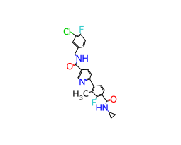 Cc1c(-c2ccc(C(=O)NCc3ccc(F)c(Cl)c3)cn2)ccc(C(=O)NC2CC2)c1F